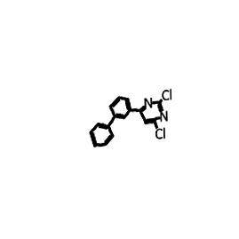 Clc1cc(-c2cccc(-c3ccccc3)c2)nc(Cl)n1